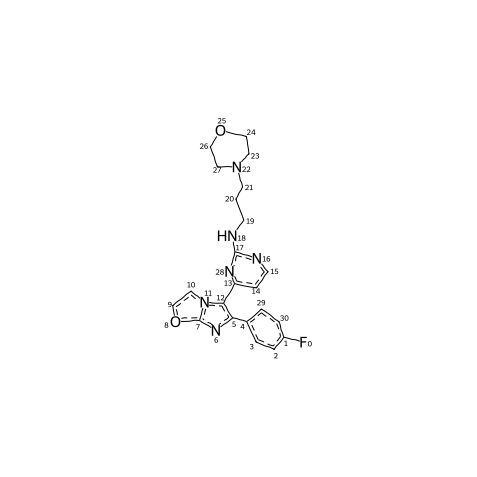 Fc1ccc(-c2nc3occn3c2-c2ccnc(NCCCN3CCOCC3)n2)cc1